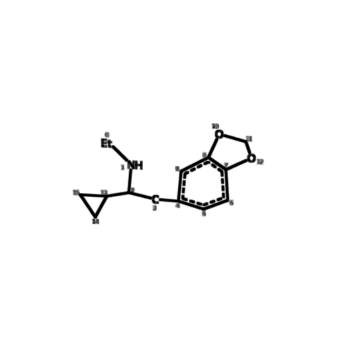 CCNC(Cc1ccc2c(c1)OCO2)C1CC1